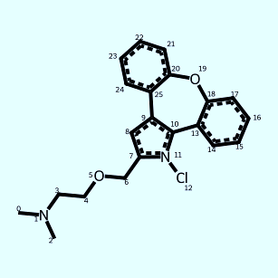 CN(C)CCOCc1cc2c(n1Cl)-c1ccccc1Oc1ccccc1-2